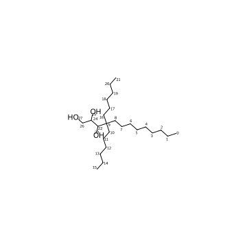 CCCCCCCCCC(CCCCCC)(CCCCCC)C(O)C(O)CO